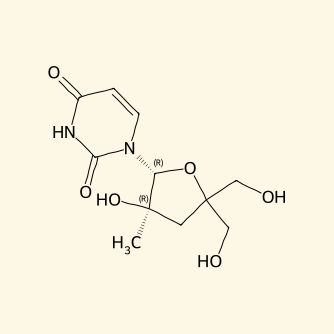 C[C@@]1(O)CC(CO)(CO)O[C@H]1n1ccc(=O)[nH]c1=O